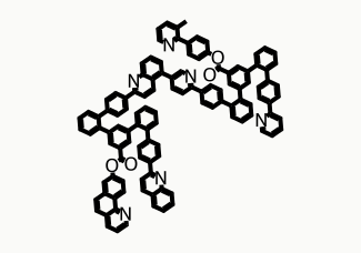 Cc1cccnc1-c1ccc(OC(=O)c2cc(-c3ccccc3-c3ccc(-c4ccccn4)cc3)cc(-c3ccccc3-c3ccc(-c4ccc(-c5cccc6nc(-c7ccc(-c8ccccc8-c8cc(C(=O)Oc9ccc%10c(ccc%11cccnc%11%10)c9)cc(-c9ccccc9-c9ccc(-c%10ccc%11ccccc%11n%10)cc9)c8)cc7)ccc56)cn4)cc3)c2)cc1